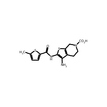 Cc1ccc(C(=O)Nc2sc3c(c2N)CCN(C(=O)O)C3)s1